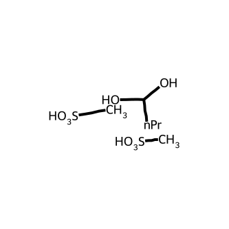 CCCC(O)O.CS(=O)(=O)O.CS(=O)(=O)O